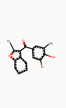 CCc1oc2ccccc2c1C(=O)c1cc(Br)c(O)c(C#N)c1